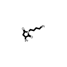 CC(C)CCCCN1C(=O)CC(C(C)C)C1=O